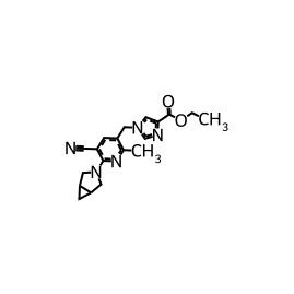 CCOC(=O)c1cn(Cc2cc(C#N)c(N3CC4CC4C3)nc2C)cn1